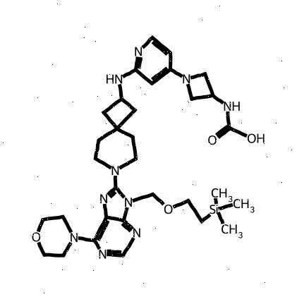 C[Si](C)(C)CCOCn1c(N2CCC3(CC2)CC(Nc2cc(N4CC(NC(=O)O)C4)ccn2)C3)nc2c(N3CCOCC3)ncnc21